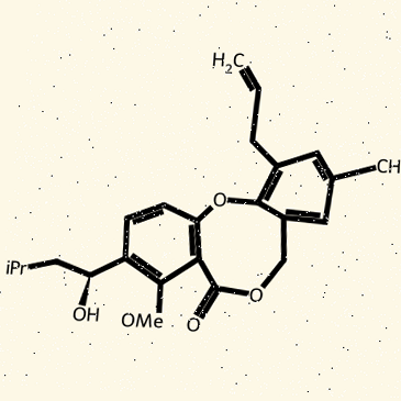 C=CCc1cc(C)cc2c1Oc1ccc([C@@H](O)CC(C)C)c(OC)c1C(=O)OC2